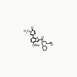 COc1ccc(-c2ccc(=O)n(C)c2)c2sc(C(=O)N(CCC3CO3)CC3CCCCC3)cc12